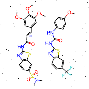 COc1cc(/C=C/C(=O)Nc2nc3ccc(S(=O)(=O)N(C)C)cc3s2)cc(OC)c1OC.COc1ccc(NC(=O)Nc2nc3ccc(C(F)(F)F)cc3s2)cc1